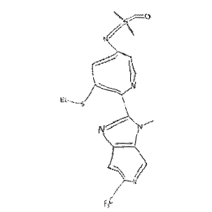 CCSc1cc(N=S(C)(C)=O)cnc1-c1nc2cc(C(F)(F)F)ncc2n1C